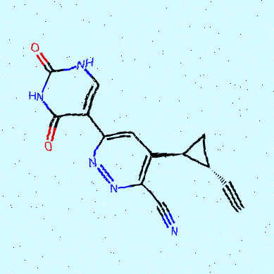 C#C[C@H]1C[C@@H]1c1cc(-c2c[nH]c(=O)[nH]c2=O)nnc1C#N